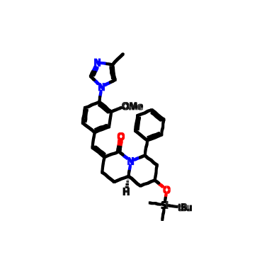 COc1cc(/C=C2/CC[C@@H]3CC(O[Si](C)(C)C(C)(C)C)CC(c4ccccc4)N3C2=O)ccc1-n1cnc(C)c1